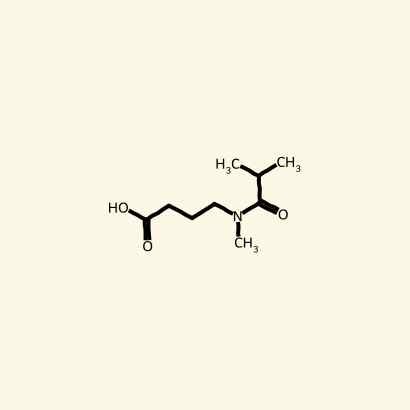 CC(C)C(=O)N(C)CCCC(=O)O